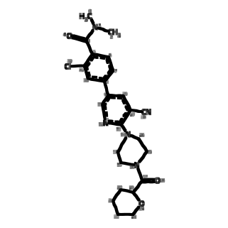 CN(C)C(=O)c1ccc(-c2cnc(N3CCN(C(=O)C4CCCCO4)CC3)c(C#N)c2)cc1Cl